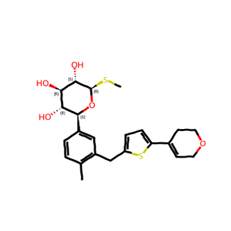 CS[C@H]1O[C@@H](c2ccc(C)c(Cc3ccc(C4=CCOCC4)s3)c2)[C@H](O)[C@@H](O)[C@@H]1O